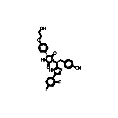 N#Cc1ccc(C[C@@H](c2ncc(-c3ccc(I)cc3F)[nH]2)N2C(=O)N[C@H](c3ccc(OCCO)cc3)C2=O)cc1